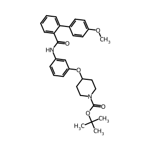 COc1ccc(-c2ccccc2C(=O)Nc2cccc(OC3CCN(C(=O)OC(C)(C)C)CC3)c2)cc1